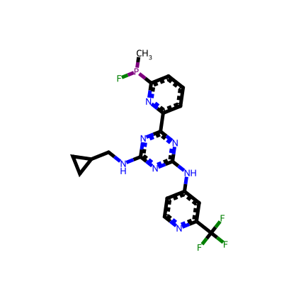 CP(F)c1cccc(-c2nc(NCC3CC3)nc(Nc3ccnc(C(F)(F)F)c3)n2)n1